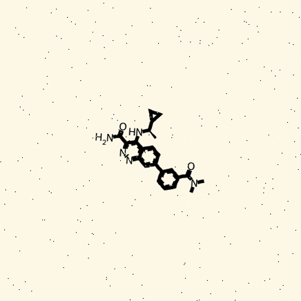 C[C@@H](Nc1c(C(N)=O)nnc2cc(-c3cccc(C(=O)N(C)C)c3)ccc12)C1CC1